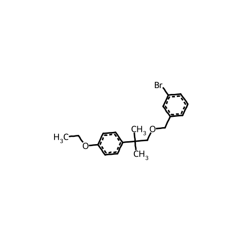 CCOc1ccc(C(C)(C)COCc2cccc(Br)c2)cc1